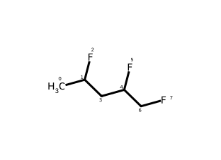 CC(F)CC(F)CF